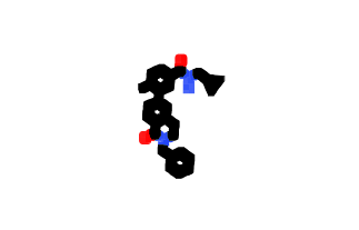 Cc1ccc(C(=O)NCC2CC2)cc1-c1ccc2c(c1)CCN(Cc1ccccc1)C2=O